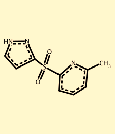 Cc1cccc(S(=O)(=O)c2cc[nH]n2)n1